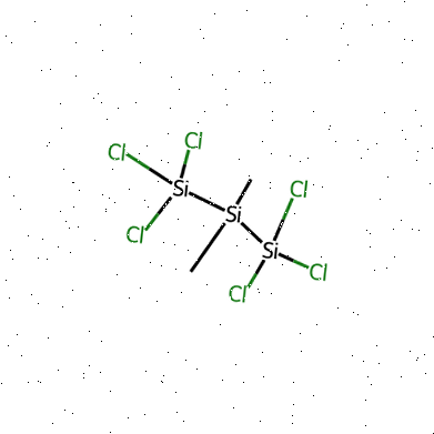 C[Si](C)([Si](Cl)(Cl)Cl)[Si](Cl)(Cl)Cl